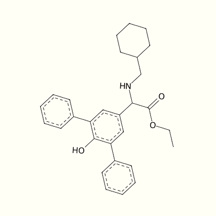 CCOC(=O)C(NCC1CCCCC1)c1cc(-c2ccccc2)c(O)c(-c2ccccc2)c1